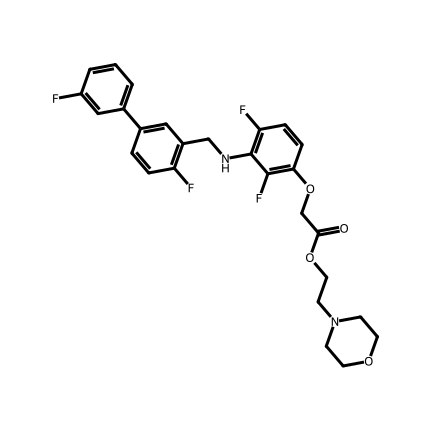 O=C(COc1ccc(F)c(NCc2cc(-c3cccc(F)c3)ccc2F)c1F)OCCN1CCOCC1